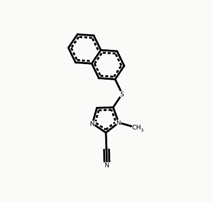 Cn1c(Sc2ccc3ccccc3c2)cnc1C#N